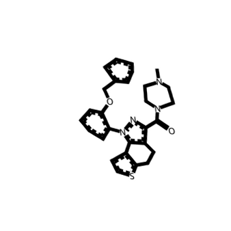 CN1CCN(C(=O)c2nn(-c3ccccc3OCc3ccccc3)c3c2CCc2sccc2-3)CC1